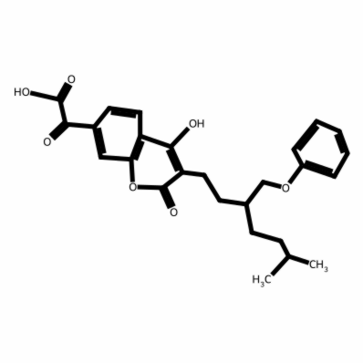 CC(C)CCC(CCc1c(O)c2ccc(C(=O)C(=O)O)cc2oc1=O)COc1ccccc1